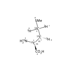 [2H][13C@H]([13C@H]([15NH2])[13C](=O)O)[12C]([2H])([2H])SC